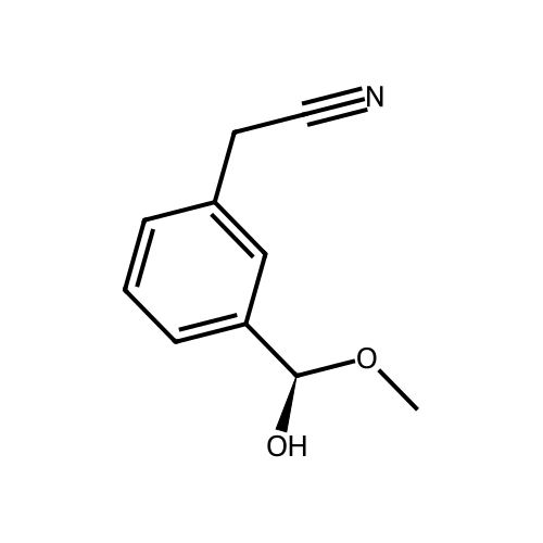 CO[C@@H](O)c1cccc(CC#N)c1